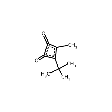 Cc1c(C(C)(C)C)c(=O)c1=O